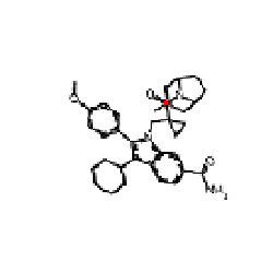 COc1ccc(-c2c(C3CCCCC3)c3ccc(C(N)=O)cc3n2CC2(C(=O)N3C4CCC3CN(C)C4)CC2)cc1